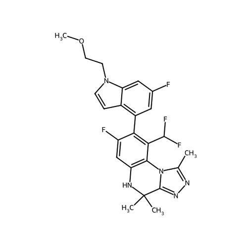 COCCn1ccc2c(-c3c(F)cc4c(c3C(F)F)-n3c(C)nnc3C(C)(C)N4)cc(F)cc21